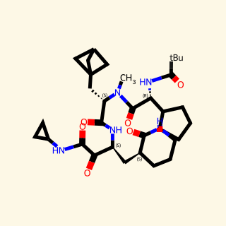 CN(C(=O)[C@H](NC(=O)C(C)(C)C)C1CCCC1)[C@@H](CC12CC(C1)C2)C(=O)N[C@@H](C[C@@H]1CCCNC1=O)C(=O)C(=O)NC1CC1